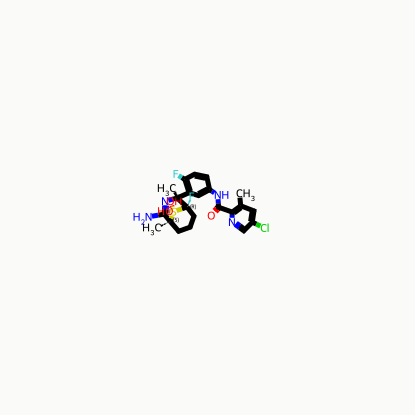 Cc1cc(Cl)cnc1C(=O)Nc1ccc(F)c([C@@]2(C)N=C(N)[C@]3(C)CCC[C@@]2(F)S3(O)O)c1